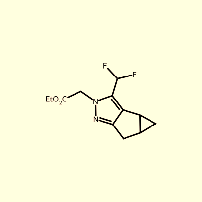 CCOC(=O)Cn1nc2c(c1C(F)F)C1CC1C2